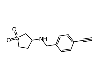 C#Cc1ccc(CNC2CCS(=O)(=O)C2)cc1